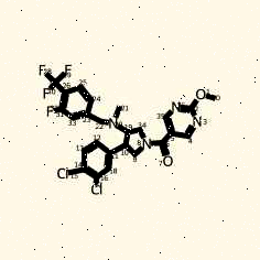 COc1ncc(C(=O)N2CC(c3ccc(Cl)c(Cl)c3)C(N(C)Cc3ccc(C(F)(F)F)c(F)c3)C2)cn1